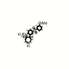 COc1cccc(S(=O)(=O)c2ccc3c(c2)[C@H]2CCNCC[C@@H]2N3C)c1